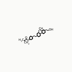 C=C(C)C(=O)Oc1ccc(CCc2ccc(-c3ccc(CCO)cc3CC)c(F)c2)cc1